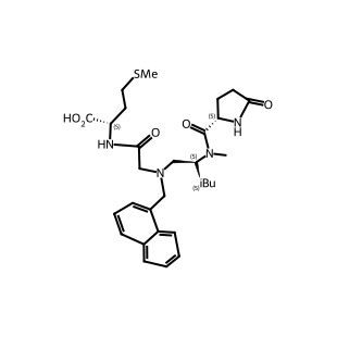 CC[C@H](C)[C@@H](CN(CC(=O)N[C@@H](CCSC)C(=O)O)Cc1cccc2ccccc12)N(C)C(=O)[C@@H]1CCC(=O)N1